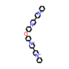 c1ccc(-[n+]2ccc(-c3cc[n+](-c4ccc(Oc5ccc(-[n+]6ccc(-c7cc[n+](-c8ccccc8)cc7)cc6)cc5)cc4)cc3)cc2)cc1